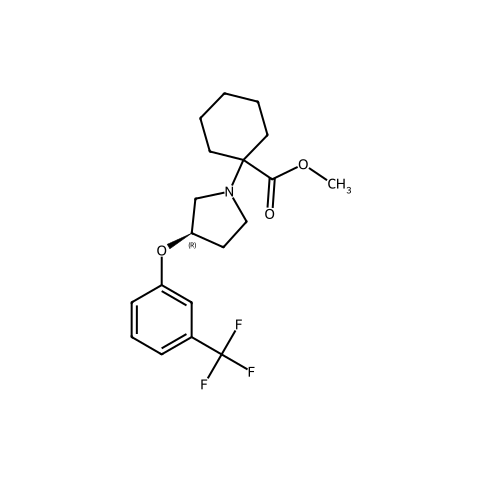 COC(=O)C1(N2CC[C@@H](Oc3cccc(C(F)(F)F)c3)C2)CCCCC1